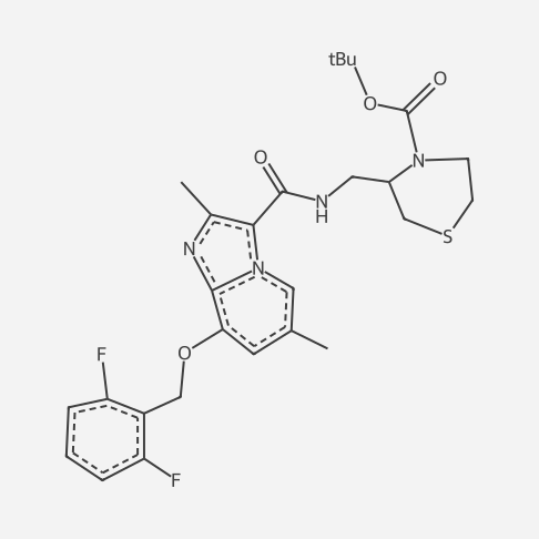 Cc1cc(OCc2c(F)cccc2F)c2nc(C)c(C(=O)NCC3CSCCN3C(=O)OC(C)(C)C)n2c1